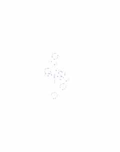 CCc1nc(Nc2ccc(Cc3ccccc3)cc2)nc(Nc2cc(C(=O)Nc3ccccc3)ccn2)n1